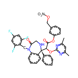 Cc1cc(C)nc(O[C@H](C(=O)Oc2cccc(CO[N+](=O)[O-])c2)[C@@]2(c3ccccc3)NCC(=O)N(Cc3c(F)cc(F)cc3F)c3ccccc32)n1